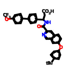 CC(C)(C)c1ccc(Oc2ccc3cc(C(=O)NC(CC(=O)O)c4ccc(-c5ccc(OC(F)(F)F)cc5)cc4)ncc3c2)cc1